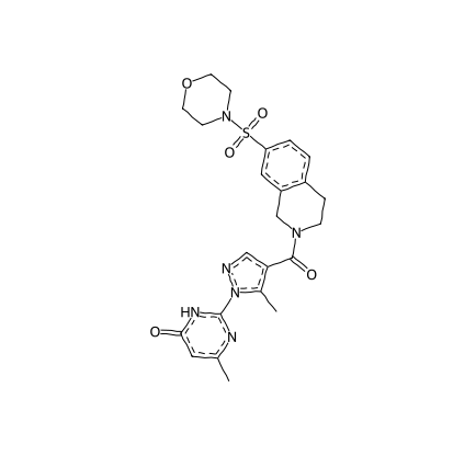 Cc1cc(=O)[nH]c(-n2ncc(C(=O)N3CCc4ccc(S(=O)(=O)N5CCOCC5)cc4C3)c2C)n1